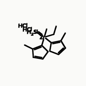 C[CH2][Zr]([CH3])(=[SiH2])([C]1=C(C)C=CC1)[C]1=C(C)C=CC1.Cl.Cl